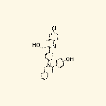 C=C(c1ccc(O)cc1)N(Cc1ccccc1)c1ccc(-c2nc3ccc(Cl)cc3cc2CO)cc1